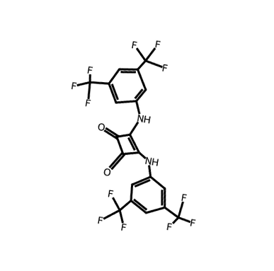 O=c1c(Nc2cc(C(F)(F)F)cc(C(F)(F)F)c2)c(Nc2cc(C(F)(F)F)cc(C(F)(F)F)c2)c1=O